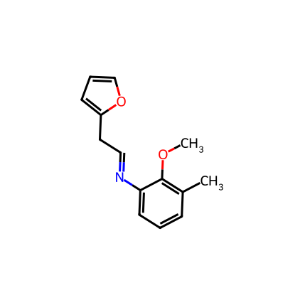 COc1c(C)cccc1N=CCc1ccco1